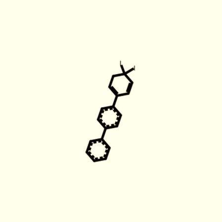 IC1(I)C=CC(c2ccc(-c3ccccc3)cc2)=CC1